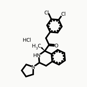 C[C@]1(C(=O)Cc2ccc(Cl)c(Cl)c2)NC(N2CCCC2)Cc2ccccc21.Cl